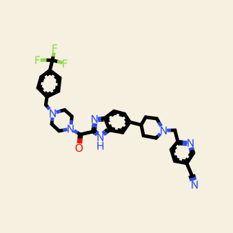 N#Cc1ccc(CN2CCC(c3ccc4nc(C(=O)N5CCN(Cc6ccc(C(F)(F)F)cc6)CC5)[nH]c4c3)CC2)nc1